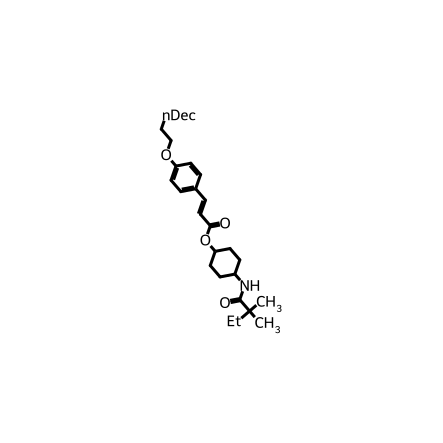 CCCCCCCCCCCCOc1ccc(/C=C/C(=O)OC2CCC(NC(=O)C(C)(C)CC)CC2)cc1